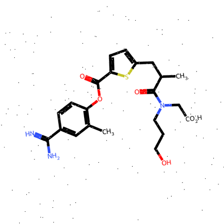 Cc1cc(C(=N)N)ccc1OC(=O)c1ccc(CC(C)C(=O)N(CCCO)CC(=O)O)s1